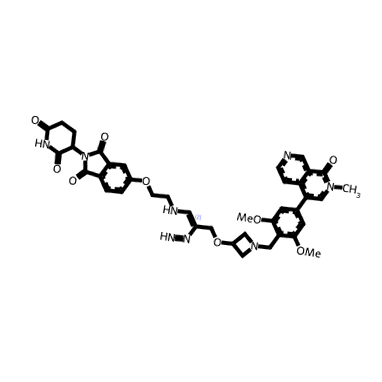 COc1cc(-c2cn(C)c(=O)c3cnccc23)cc(OC)c1CN1CC(OC/C(=C/NCCOc2ccc3c(c2)C(=O)N(C2CCC(=O)NC2=O)C3=O)N=N)C1